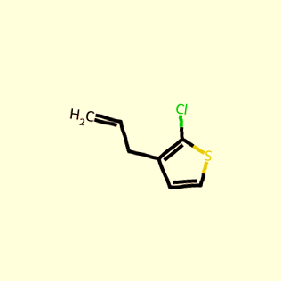 C=CCc1ccsc1Cl